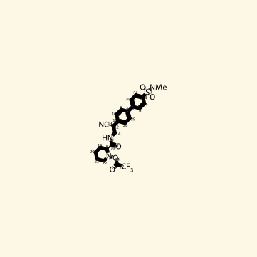 CNS(=O)(=O)c1ccc(-c2ccc([C@@H](C#N)CNC(=O)[C@@H]3CCCCN3OC(=O)C(F)(F)F)cc2)cc1